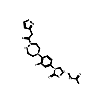 CC(=O)NC[C@H]1CN(c2ccc(N3CCNN(C(=O)Cc4ccon4)CC3)c(F)c2)C(=O)O1